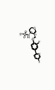 CCS(=O)(=O)N[C@@H]1CCOC[C@H]1COc1ccc(-c2ccc(F)cn2)cc1F